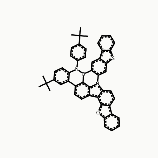 CC(C)(C)c1ccc(N2B3c4cc5c(cc4-n4c6ccc7c8ccccc8oc7c6c6ccc(c3c64)-c3cc(C(C)(C)C)ccc32)sc2ccccc25)cc1